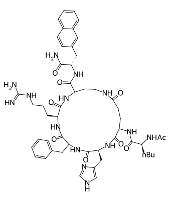 CCCC[C@H](NC(C)=O)C(=O)NC1CCC(=O)NCCC(C(=O)N[C@@H](Cc2ccc3ccccc3c2)C(N)=O)NC(=O)[C@H](CCCNC(=N)N)NC(=O)C(Cc2ccccc2)NC(=O)[C@H](Cc2c[nH]cn2)NC1=O